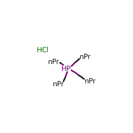 CCC[PH](CCC)(CCC)CCC.Cl